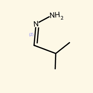 CC(C)/C=N\N